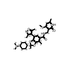 CSc1cc(C)[nH]c(=O)c1CNC(=O)c1cc(-c2c(C)noc2C)c2c(c1C)OC(C)([C@H]1CC[C@H](N(C)C)CC1)O2